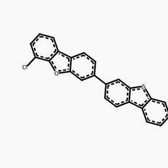 Clc1cccc2c1oc1cc(-c3ccc4c(c3)sc3ccccc34)ccc12